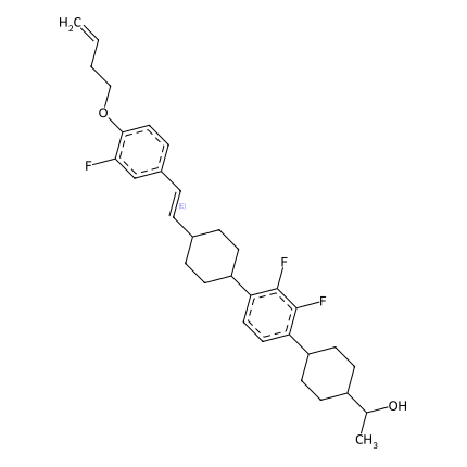 C=CCCOc1ccc(/C=C/C2CCC(c3ccc(C4CCC(C(C)O)CC4)c(F)c3F)CC2)cc1F